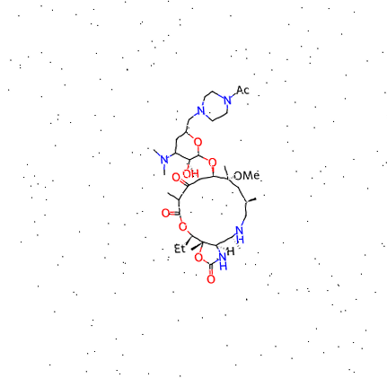 CC[C@H]1OC(=O)C(C)C(=O)[C@H](C)[C@@H](OC2OC(CN3CCN(C(C)=O)CC3)CC(N(C)C)C2O)[C@](C)(OC)C[C@@H](C)CN[C@H](C)[C@H]2NC(=O)O[C@@]21C